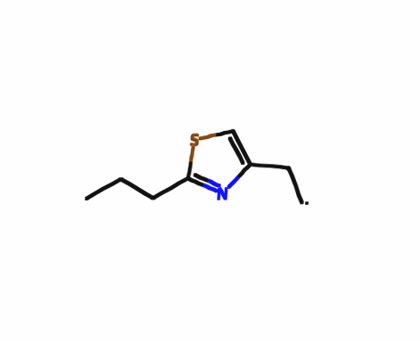 [CH2]Cc1csc(CCC)n1